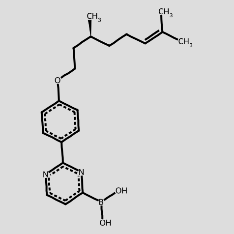 CC(C)=CCC[C@H](C)CCOc1ccc(-c2nccc(B(O)O)n2)cc1